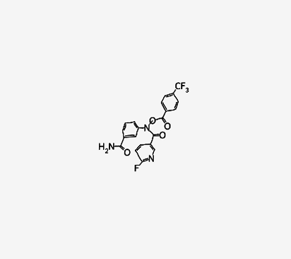 NC(=O)c1cccc(N(OC(=O)c2ccc(C(F)(F)F)cc2)C(=O)c2ccc(F)nc2)c1